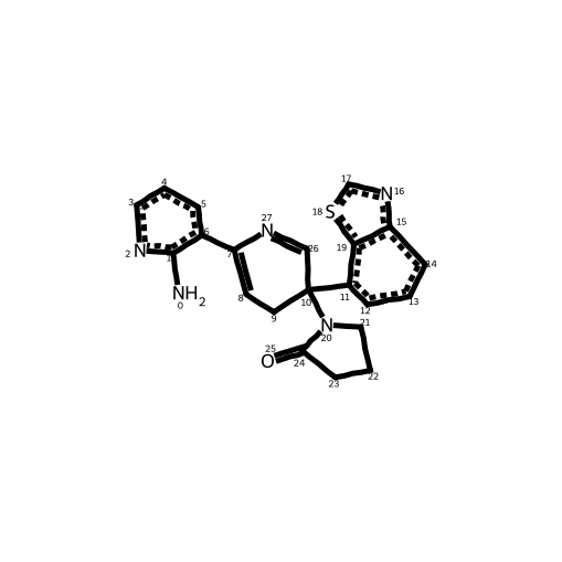 Nc1ncccc1C1=CCC(c2cccc3ncsc23)(N2CCCC2=O)C=N1